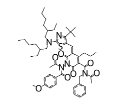 CCCCC(CC)CN(CC(CC)CCCC)c1nc(C(C)(C)C)c(/C=C2\C(=O)N(N(C(C)=O)C(=O)c3ccc(OC)cc3)C(=O)C(C(=O)N(Cc3ccccc3)C(C)=O)=C2CCC)s1